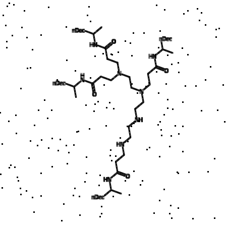 CCCCCCCCCCC(C)NC(=O)CCNCCNCCN(CCC(=O)NC(C)CCCCCCCCCC)CCN(CCC(=O)NC(C)CCCCCCCCCC)CCC(=O)NC(C)CCCCCCCCCC